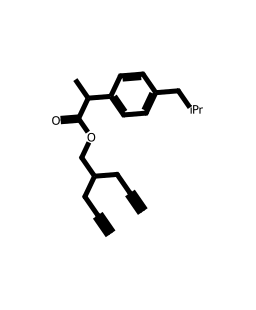 C#CCC(CC#C)COC(=O)C(C)c1ccc(CC(C)C)cc1